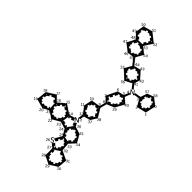 c1ccc(N(c2ccc(-c3ccc(-n4c5cc6ccccc6cc5c5c6sc7ccccc7c6ccc54)cc3)cc2)c2ccc(-c3ccc4ccccc4c3)cc2)cc1